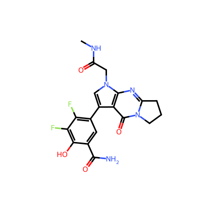 CNC(=O)Cn1cc(-c2cc(C(N)=O)c(O)c(F)c2F)c2c(=O)n3c(nc21)CCC3